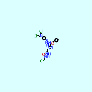 O=C(NCCCl)NCCCn1cnc2c(OCc3ccccc3)nc(N=Nc3ccc(N(CCCl)CCCl)cc3)nc21